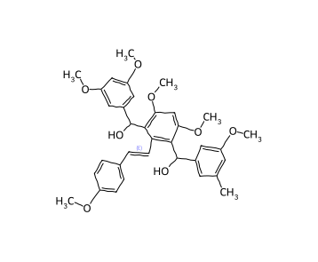 COc1ccc(/C=C/c2c(C(O)c3cc(C)cc(OC)c3)c(OC)cc(OC)c2C(O)c2cc(OC)cc(OC)c2)cc1